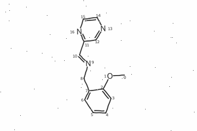 COc1ccccc1CN=Cc1cnccn1